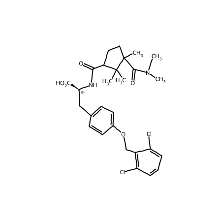 CN(C)C(=O)C1(C)CCC(C(=O)N[C@@H](Cc2ccc(OCc3c(Cl)cccc3Cl)cc2)C(=O)O)C1(C)C